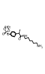 CCOP(=O)(OCC)Oc1ccc(C(F)C(=O)NCCCCCCN)cc1